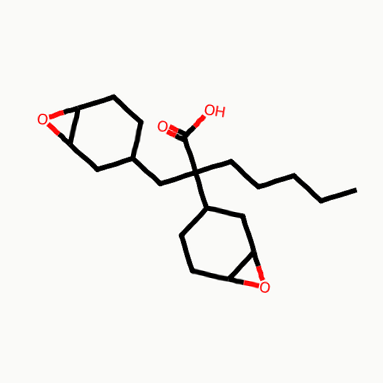 CCCCCC(CC1CCC2OC2C1)(C(=O)O)C1CCC2OC2C1